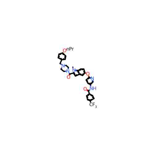 CCCOc1ccc(CN2CCN(C(=O)c3cc4cc(Oc5ccc(NC(=O)c6ccc(C(F)(F)F)cc6)cn5)ccc4n3C)CC2)cc1